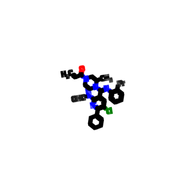 C=CC(=O)N1CCN(/C(=N/c2ccccc2C(C)C)c2cc(Cl)c(C3=CCCCC3)nc2NC=O)C(C)C1